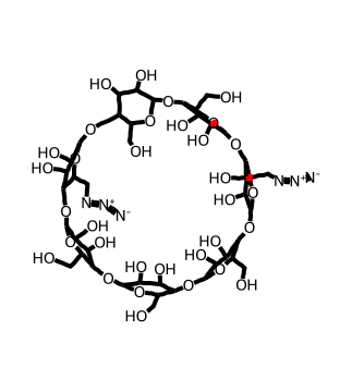 [N-]=[N+]=NCC1OC2OC3C(CO)OC(OC4C(CO)OC(OC5C(CN=[N+]=[N-])OC(OC6C(CO)OC(OC7C(CO)OC(OC8C(CO)OC(OC1C(O)C2O)C(O)C8O)C(O)C7O)C(O)C6O)C(O)C5O)C(O)C4O)C(O)C3O